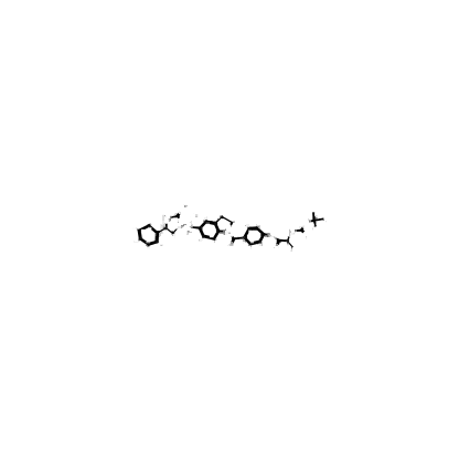 CC(NC(=O)OC(C)(C)C)C(=O)Nc1ccc(C(=O)N2CCc3cc(S(=O)(=O)N4CC(c5ccccc5)NC4=O)ccc32)cc1